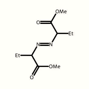 CCC(N=NC(CC)C(=O)OC)C(=O)OC